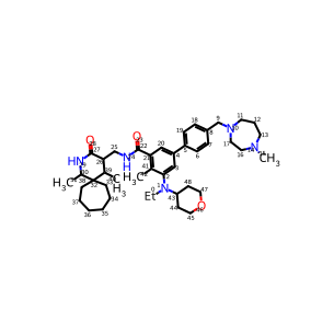 CCN(c1cc(-c2ccc(CN3CCCN(C)CC3)cc2)cc(C(=O)NCC2C(=O)NC(C)C3(CCCCCC3)C2C)c1C)C1CCOCC1